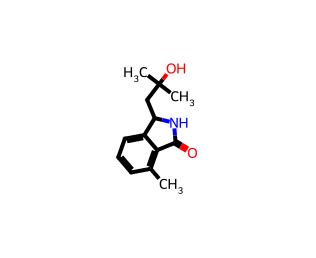 Cc1cccc2c1C(=O)NC2CC(C)(C)O